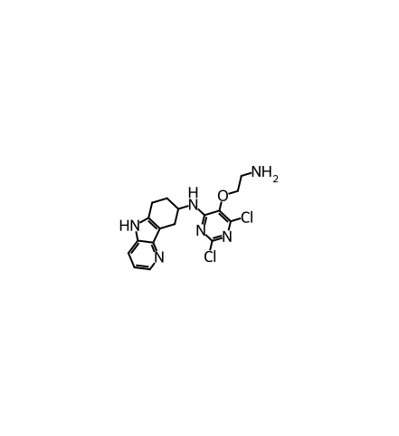 NCCOc1c(Cl)nc(Cl)nc1NC1CCc2[nH]c3cccnc3c2C1